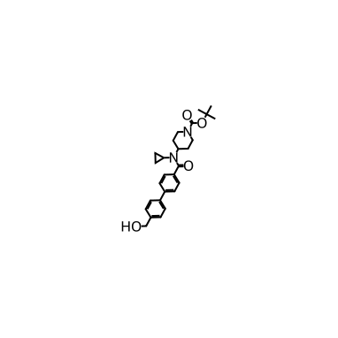 CC(C)(C)OC(=O)N1CCC(N(C(=O)c2ccc(-c3ccc(CO)cc3)cc2)C2CC2)CC1